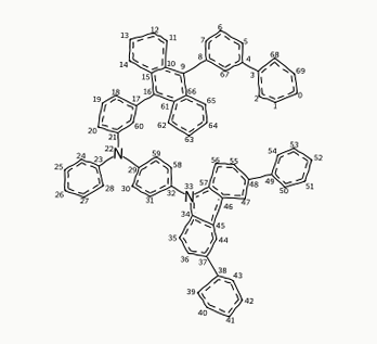 c1ccc(-c2cccc(-c3c4ccccc4c(-c4cccc(N(c5ccccc5)c5ccc(-n6c7ccc(-c8ccccc8)cc7c7cc(-c8ccccc8)ccc76)cc5)c4)c4ccccc34)c2)cc1